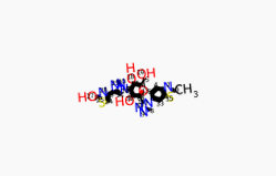 Cc1nc2ccc(-n3cnnc3[C@@H]3O[C@H](CO)[C@H](O)[C@H](n4cc(-c5csc(O)n5)nn4)[C@H]3O)cc2s1